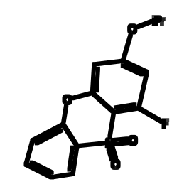 CC(C)Oc1cc(F)c2c(c1)Oc1ccccc1S2(=O)=O